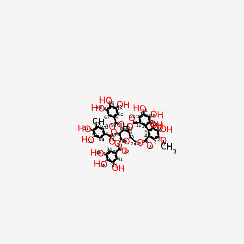 COc1cc2c(c(O)c1O)-c1c(cc(O)c(O)c1O)C(=O)O[C@@H]1C(COC2=O)O[C@@H](OC(=O)c2cc(O)c(O)c(O)c2)C(OC(=O)c2cc(C)c(O)c(O)c2)[C@H]1OC(=O)c1cc(O)c(O)c(O)c1